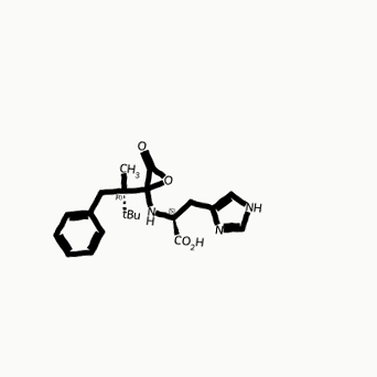 CC(C)(C)[C@@](C)(Cc1ccccc1)C1(N[C@@H](Cc2c[nH]cn2)C(=O)O)OC1=O